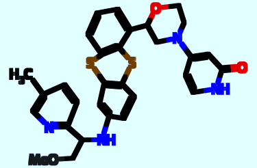 COCC(Nc1ccc2c(c1)Sc1cccc(C3CN(c4cc[nH]c(=O)c4)CCO3)c1S2)c1ccc(C)cn1